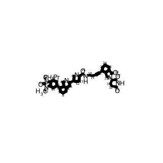 CC(C)c1cc(-c2cccc3cc(-c4ccc(C(=O)NCCC#Cc5cccc6c5CN(C5CCC(=O)NC5=O)C6=O)nc4)ncc23)cc2c1n(C)c(=O)n2C